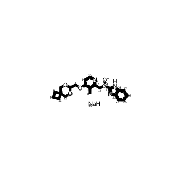 Cc1c(OCC2OCC3(CCC3)CO2)ccnc1C[S+]([O-])c1nc2ccccc2[nH]1.[NaH]